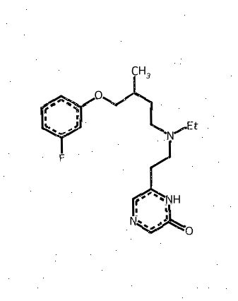 CCN(CCc1cncc(=O)[nH]1)CCC(C)COc1cccc(F)c1